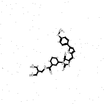 CSc1ccc(-c2ccc(C=C3SC(=S)N(C4CCCC(C(=O)OCC(CO)CO)C4)C3=O)o2)cc1